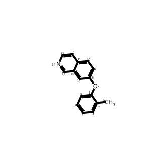 Cc1ccccc1Oc1ccc2ccncc2c1